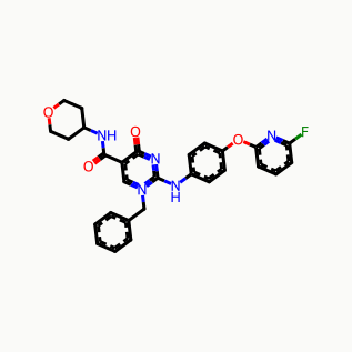 O=C(NC1CCOCC1)c1cn(Cc2ccccc2)c(Nc2ccc(Oc3cccc(F)n3)cc2)nc1=O